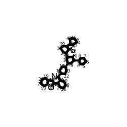 Cc1c(-c2ccccc2)cc(-c2ccc(-c3nc4c5ccccc5oc4c4ccccc34)cc2)cc1-c1cccc2c1sc1ccccc12